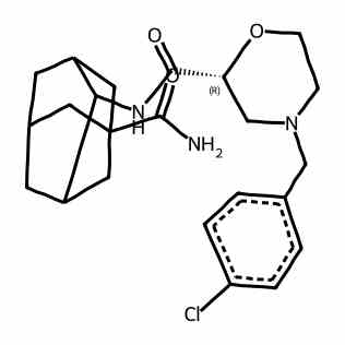 NC(=O)C12CC3CC(C1)C(NC(=O)[C@H]1CN(Cc4ccc(Cl)cc4)CCO1)C(C3)C2